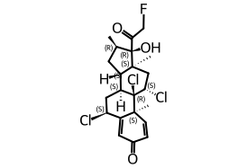 C[C@@H]1C[C@H]2[C@@H]3C[C@H](Cl)C4=CC(=O)C=C[C@]4(C)[C@@]3(Cl)[C@@H](Cl)C[C@]2(C)[C@@]1(O)C(=O)CF